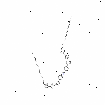 CCCCCCCCCCCCCCCCCCc1ccc(-c2ccc(-c3ccc(-c4ccc(/C=C/c5ccc(-c6ccc(-c7ccc(-c8ccc(CCCCCCCCCCCCCCCCCC)s8)s7)s6)cc5)cc4)s3)s2)s1